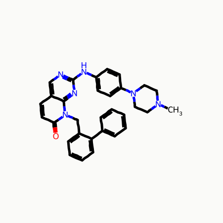 CN1CCN(c2ccc(Nc3ncc4ccc(=O)n(Cc5ccccc5-c5ccccc5)c4n3)cc2)CC1